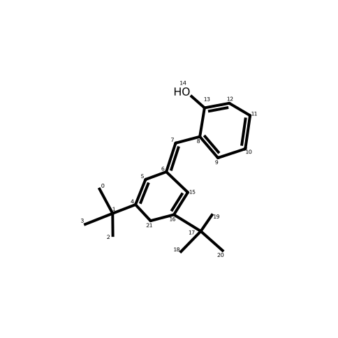 CC(C)(C)C1=CC(=Cc2ccccc2O)C=C(C(C)(C)C)C1